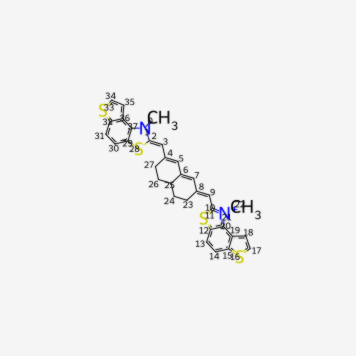 CN1/C(=C/C2=CC3=C/C(=C/c4sc5ccc6sccc6c5[n+]4C)CCC3CC2)Sc2ccc3sccc3c21